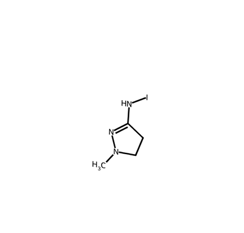 CN1CCC(NI)=N1